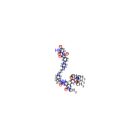 COc1cc(-c2cn(C)c(=O)c3c2CCN(C(=O)NC2CCC24CCN(CCCCN2CCN(c5ccc6c(c5)C(=O)N(C5CCC(=O)NC5=O)C6=O)CC2)CC4)C3)cc(OC)c1CN(C)C